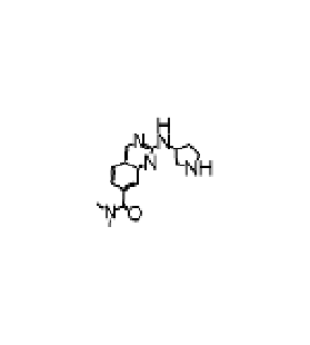 CN(C)C(=O)c1ccc2cnc(NC3CCNC3)nc2c1